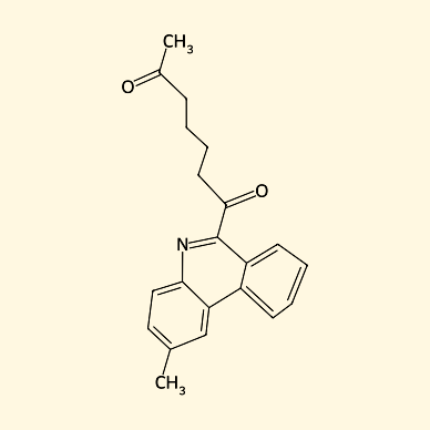 CC(=O)CCCCC(=O)c1nc2ccc(C)cc2c2ccccc12